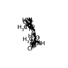 Cn1c(C(=O)NCOCc2nc3c(s2)c2cn[nH]c(=O)c2n3C)c(C=N)c2sc(Cl)nc21